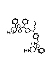 CCCCC(c1ccc(CC(=O)OC2(c3ccccc3)CCNCC2)cc1)C1CCC(C(C(=O)OC2(c3ccccc3)CCNCC2)c2ccccc2)C1